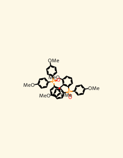 COc1ccc(P(=O)(c2ccc(OC)cc2)c2cccc(OC)c2-c2c(OC)cccc2P(=O)(c2ccc(OC)cc2)c2ccc(OC)cc2)cc1